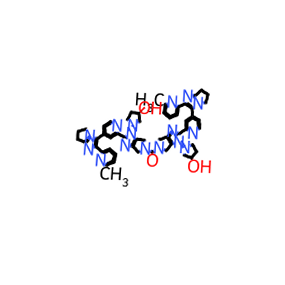 Cc1cccc(-c2nc3n(c2-c2ccnc(-c4nc5c(n4N4CC[C@@H](O)C4)CN(C(=O)N4Cc6nc(-c7cc(-c8c(-c9cccc(C)n9)nc9n8CCC9)ccn7)n(N7CC[C@@H](O)C7)c6C4)C5)c2)CCC3)n1